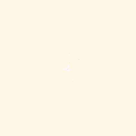 CC1CCCC(N2C(=O)C3(CCCC3)C2=O)C1